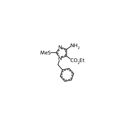 CCOC(=O)c1c(N)nc(SC)n1Cc1ccccc1